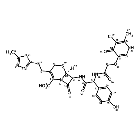 Cc1nnc(SCC2=C(C(=O)O)N3C(=O)C(NC(=O)C(NC(=O)COc4c[nH]c(C)c(Cl)c4=O)c4ccc(O)cc4)[C@@H]3SC2)s1